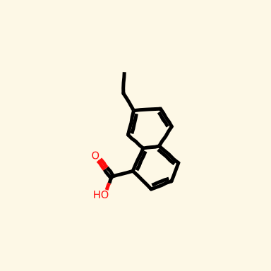 CCc1ccc2cccc(C(=O)O)c2c1